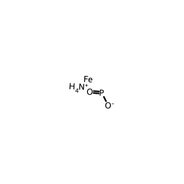 O=P[O-].[Fe].[NH4+]